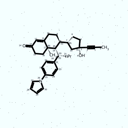 CC#C[C@]1(O)CC[C@@H]([C@@H]2CCC3=CC(=O)CC[C@]3(C)[C@H]2[C@H](CCC)c2ccc(-n3cccc3)cc2)C1